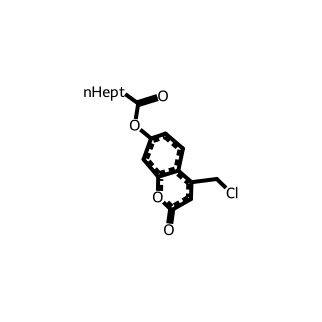 CCCCCCCC(=O)Oc1ccc2c(CCl)cc(=O)oc2c1